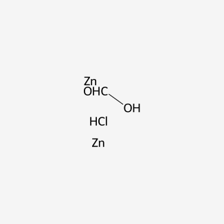 Cl.O=CO.[Zn].[Zn]